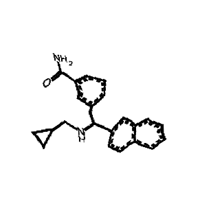 NC(=O)c1cccc(C(NCC2CC2)c2ccc3ccccc3c2)c1